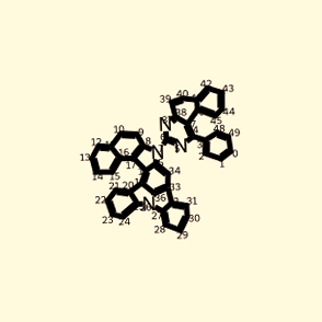 c1ccc(-c2nc(-n3c4ccc5ccccc5c4c4c5c6ccccc6n6c7ccccc7c(cc43)c56)nc3ccc4ccccc4c23)cc1